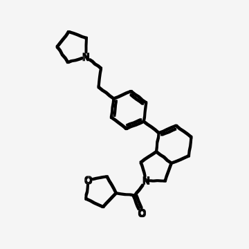 O=C(C1CCOC1)N1CC2CCC=C(c3ccc(CCN4CCCC4)cc3)C2C1